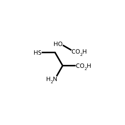 NC(CS)C(=O)O.O=C(O)O